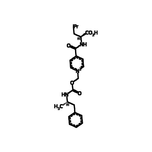 CC(C)C[C@H](NC(=O)c1cc[n+](COC(=O)N[C@@H](C)Cc2ccccc2)cc1)C(=O)O